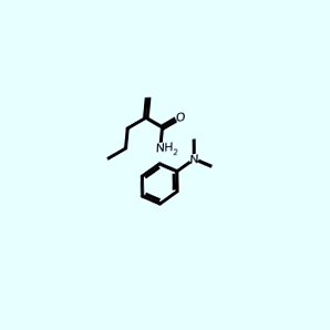 C=C(CCC)C(N)=O.CN(C)c1ccccc1